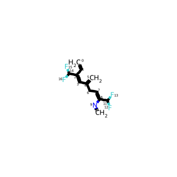 C=C/C(=C\C(=C)C/C=C(\N=C)C(F)F)C(F)F